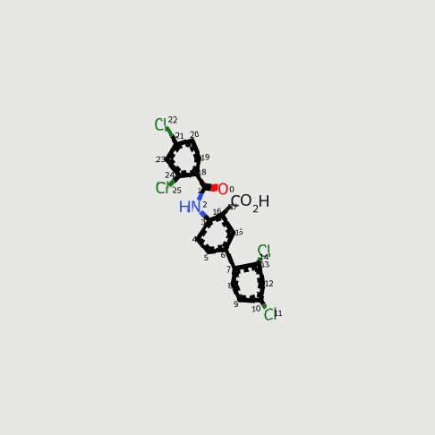 O=C(Nc1ccc(-c2ccc(Cl)cc2Cl)cc1C(=O)O)c1ccc(Cl)cc1Cl